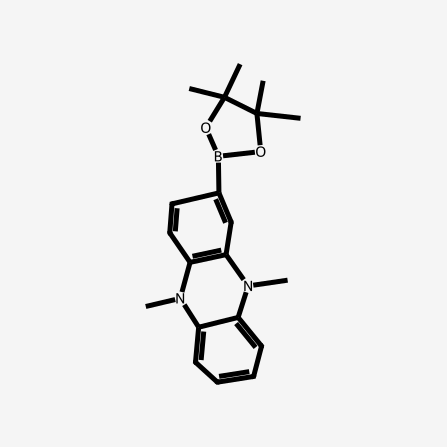 CN1c2ccccc2N(C)c2cc(B3OC(C)(C)C(C)(C)O3)ccc21